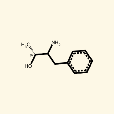 C[C@@H](O)C(N)Cc1ccccc1